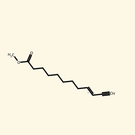 C#C/C=C/CCCCCCCC(=O)OC